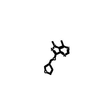 Cc1ncnc2c(OCC3CCOC3)nn(C)c12